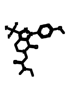 CCN(C)C(=O)CN1CCc2c(C(F)(F)F)nn(-c3ccc(OC)cc3)c2C1=O